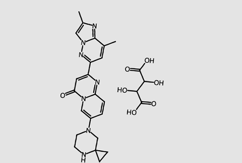 Cc1cn2nc(-c3cc(=O)n4cc(N5CCNC6(CC6)C5)ccc4n3)cc(C)c2n1.O=C(O)C(O)C(O)C(=O)O